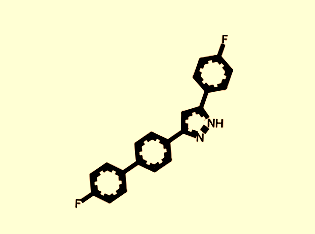 Fc1ccc(-c2ccc(-c3cc(-c4ccc(F)cc4)[nH]n3)cc2)cc1